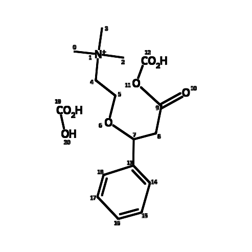 C[N+](C)(C)CCOC(CC(=O)OC(=O)O)c1ccccc1.O=C(O)O